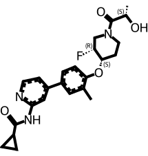 Cc1cc(-c2ccnc(NC(=O)C3CC3)c2)ccc1O[C@H]1CCN(C(=O)[C@H](C)O)C[C@H]1F